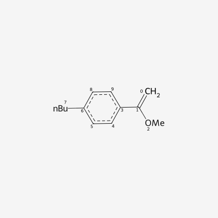 C=C(OC)c1ccc(CCCC)cc1